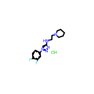 Cl.Fc1ccc(-n2cc(NCCN3CCCCC3)nn2)cc1F